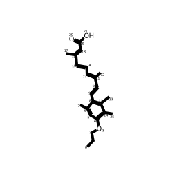 CCCOc1cc(C)c(C=CC(C)=CC=CC(C)=CC(=O)O)c(C)c1C